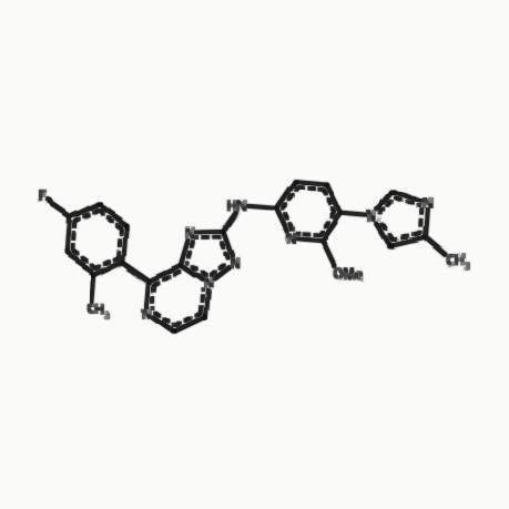 COc1nc(Nc2nc3c(-c4ccc(F)cc4C)nccn3n2)ccc1-n1cnc(C)c1